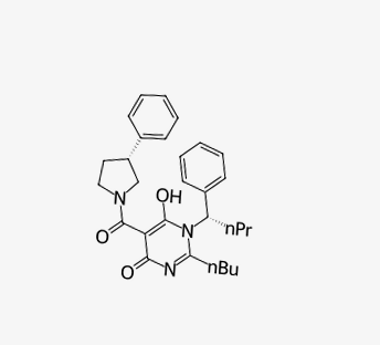 CCCCc1nc(=O)c(C(=O)N2CC[C@H](c3ccccc3)C2)c(O)n1[C@@H](CCC)c1ccccc1